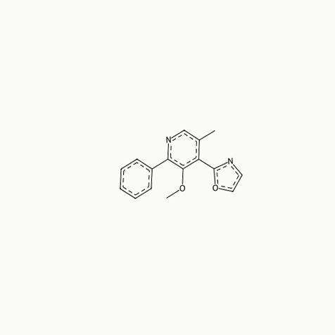 COc1c(-c2ccccc2)ncc(C)c1-c1ncco1